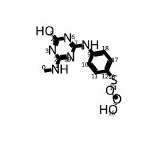 CNc1nc(O)nc(Nc2ccc(SOOO)cc2)n1